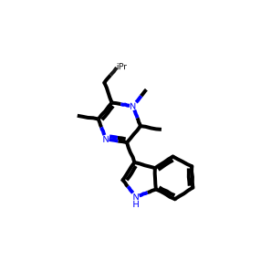 CC1=C(CC(C)C)N(C)C(C)C(c2c[nH]c3ccccc23)=N1